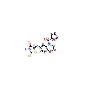 O=C1NC(=S)S/C1=C\c1ccc2c(c1)N(C(=O)c1ccno1)CCO2